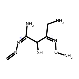 C=N/N=C(/N)C(S)/C(CN)=N\ON